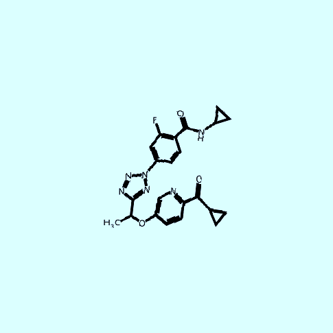 CC(Oc1ccc(C(=O)C2CC2)nc1)c1nnn(-c2ccc(C(=O)NC3CC3)c(F)c2)n1